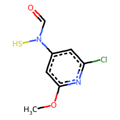 COc1cc(N(S)C=O)cc(Cl)n1